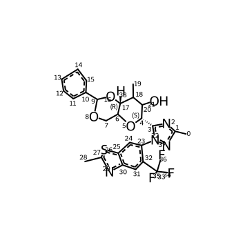 Cc1nc([C@@H]2OC3COC(c4ccccc4)O[C@@H]3C(C)C2O)n(-c2cc3sc(C)nc3cc2C(F)(F)F)n1